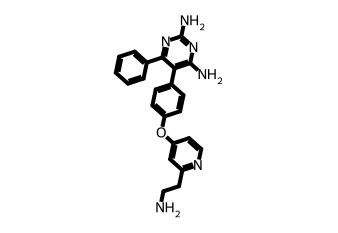 NCCc1cc(Oc2ccc(-c3c(N)nc(N)nc3-c3ccccc3)cc2)ccn1